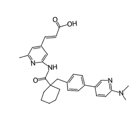 Cc1cc(/C=C/C(=O)O)cc(NC(=O)C2(Cc3ccc(-c4ccc(N(C)C)nc4)cc3)CCCCC2)n1